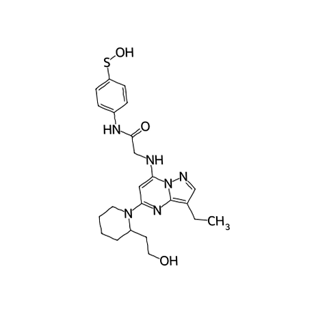 CCc1cnn2c(NCC(=O)Nc3ccc(SO)cc3)cc(N3CCCCC3CCO)nc12